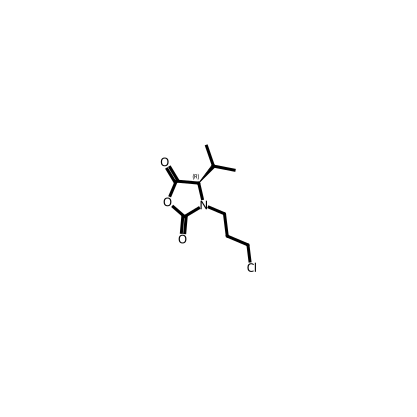 CC(C)[C@@H]1C(=O)OC(=O)N1CCCCl